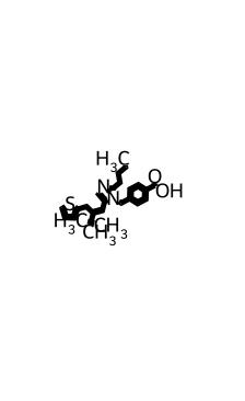 CCCCc1ncc(/C=C(\Cc2cccs2)C(C)(C)C)n1Cc1ccc(C(=O)O)cc1